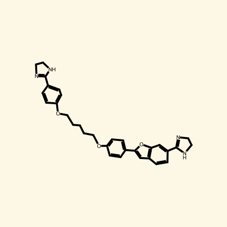 c1cc(C2=NCCN2)ccc1OCCCCCOc1ccc(-c2cc3ccc(C4=NCCN4)cc3o2)cc1